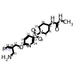 CNC(=O)NC1CCN(S(=O)(=O)c2ccc(OC/C(=C/F)CN)nc2)CC1